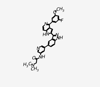 COc1cc(F)cc(-c2nccc3[nH]c(-c4n[nH]c5ccc(-c6cncc(NC(=O)CN(C)C)c6)cc45)cc23)c1